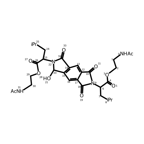 CC(=O)NCCOC(=O)C(CC(C)C)N1C(=O)c2cc3c(cc2C1=O)C(O)N(C(CC(C)C)C(=O)OCCNC(C)=O)C3=O